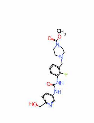 COC(=O)N1CCN(Cc2cccc(NC(=O)Nc3ccc(CO)nc3)c2F)CC1